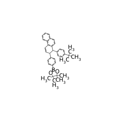 CC(C)(C)c1ccc(C2c3ccc4ccccc4c3C=CC2c2ccc(B3OC(C)(C)C(C)(C)O3)cc2)cc1